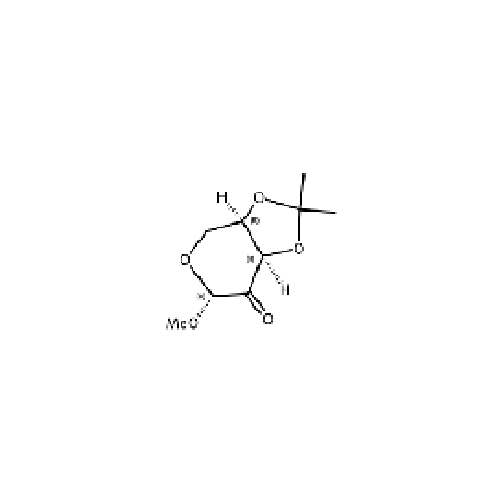 CO[C@@H]1OC[C@H]2OC(C)(C)O[C@H]2C1=O